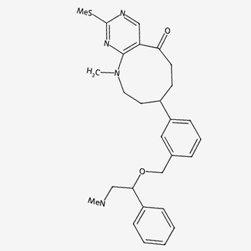 CNCC(OCc1cccc(C2CCC(=O)c3cnc(SC)nc3N(C)CC2)c1)c1ccccc1